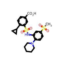 CS(=O)(=O)c1ccc(N2CCCCC2)c(NS(=O)(=O)c2cc(C(=O)O)ccc2C2CC2)c1